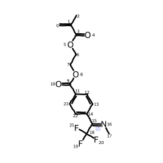 C=C(C)C(=O)OCCOC(=O)c1ccc(/C(=N/C)C(F)(F)F)cc1